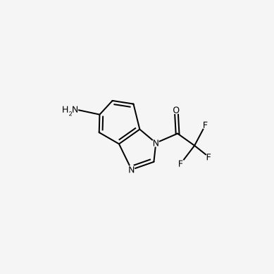 Nc1ccc2c(c1)ncn2C(=O)C(F)(F)F